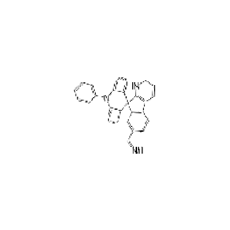 N=Cc1ccc2c(c1)C1(C3=C2C=CCN3)c2ccccc2N(c2ccccc2)c2ccccc21